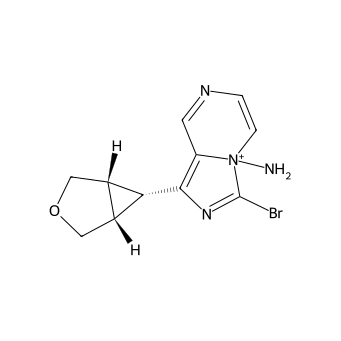 N[N+]12C=CN=CC1=C([C@@H]1[C@@H]3COC[C@@H]31)N=C2Br